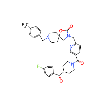 O=C(c1ccc(F)cc1)C1CCN(C(=O)c2ccc(CN3CC4(CCN(Cc5ccc(C(F)(F)F)cc5)CC4)OC3=O)nc2)CC1